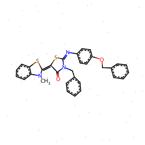 CN1C(=C2SC(=Nc3ccc(OCc4ccccc4)cc3)N(Cc3ccccc3)C2=O)Sc2ccccc21